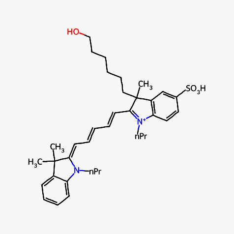 CCCN1\C(=C/C=C/C=C/C2=[N+](CCC)c3ccc(S(=O)(=O)O)cc3C2(C)CCCCCCO)C(C)(C)c2ccccc21